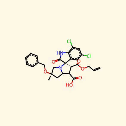 C=CCOC(=O)C1C(C(=O)O)C2C[C@](C)(OCc3ccccc3)CN2[C@]12C(=O)Nc1c(Cl)cc(Cl)cc12